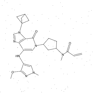 C=CC(=O)N(C)C1CCC(n2cc(Nc3cn(C)nc3OC)c3ncn(C45CC(C4)C5)c3c2=O)C1